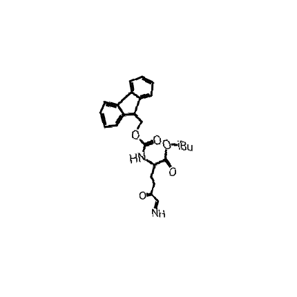 CCC(C)OC(=O)C(CCC(=O)C=N)NC(=O)OCC1c2ccccc2-c2ccccc21